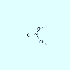 CN(C)OI